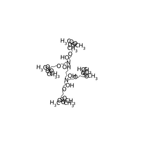 CO[Si](CCCOCC(O)CN(CCCCCCN(CC(O)COCCC[Si](OC)(OC)OC)CC(O)COCCC[Si](OC)(OC)OC)CC(O)COCCC[Si](OC)(OC)OC)(OC)OC